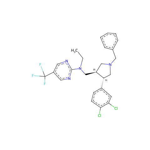 CCN(C[C@H]1CN(Cc2ccccc2)C[C@@H]1c1ccc(Cl)c(Cl)c1)c1ncc(C(F)(F)F)cn1